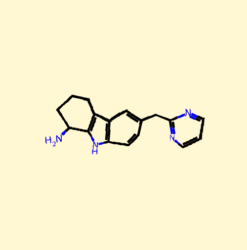 NC1CCCc2c1[nH]c1ccc(Cc3ncccn3)cc21